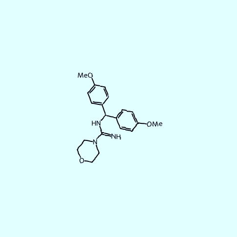 COc1ccc(C(NC(=N)N2CCOCC2)c2ccc(OC)cc2)cc1